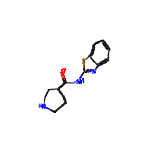 O=C(Nc1nc2ccccc2s1)C1CCNCC1